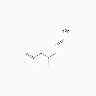 C=C(C)CC(C)CC=C[CH]CC